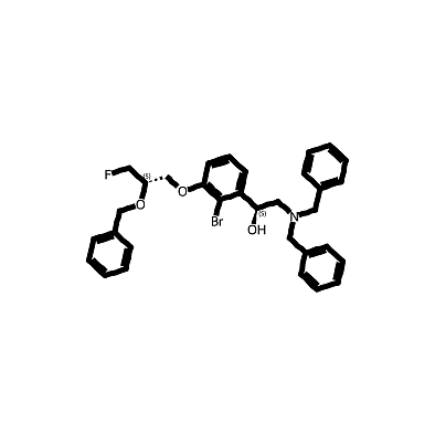 O[C@H](CN(Cc1ccccc1)Cc1ccccc1)c1cccc(OC[C@@H](CF)OCc2ccccc2)c1Br